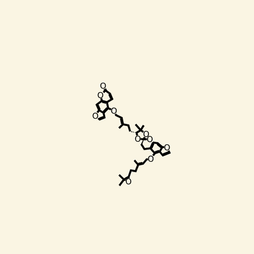 C/C(=C\COc1c2c(cc3occc13)O[C@]1(CC2)O[C@H](CC/C(C)=C/COc2c3ccoc3cc3oc(=O)ccc23)C(C)(C)O1)CCC1OC1(C)C